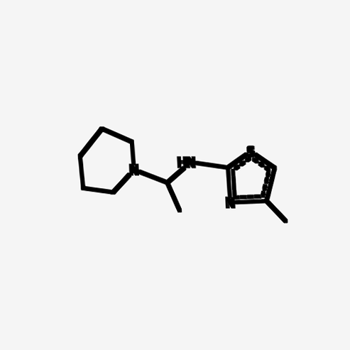 Cc1csc(NC(C)N2CCCCC2)n1